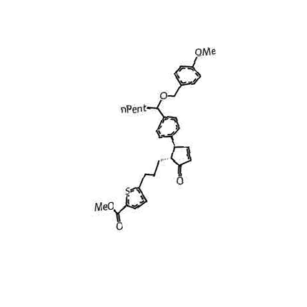 CCCCCC(OCc1ccc(OC)cc1)c1ccc([C@H]2C=CC(=O)[C@@H]2CCCc2ccc(C(=O)OC)s2)cc1